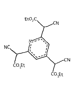 CCOC(=O)C(C#N)c1cc(C(C#N)C(=O)OCC)nc(C(C#N)C(=O)OCC)c1